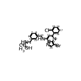 CB(O)NCc1cccc(CNc2cc(-c3ccccc3Cl)nc3c(Br)cnn23)c1